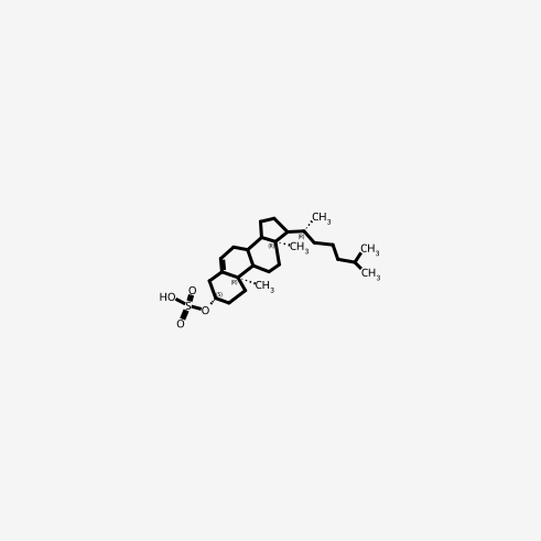 CC(C)CCC[C@@H](C)C1CCC2C3CC=C4C[C@@H](OS(=O)(=O)O)CC[C@]4(C)C3CC[C@@]21C